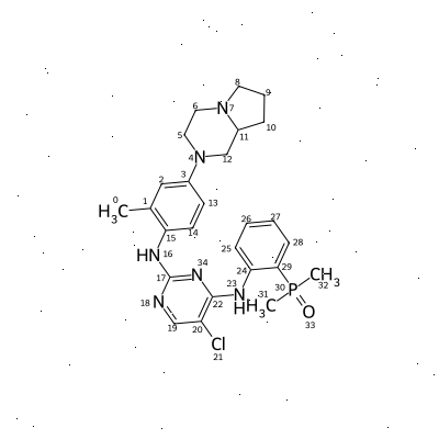 Cc1cc(N2CCN3CCCC3C2)ccc1Nc1ncc(Cl)c(Nc2ccccc2P(C)(C)=O)n1